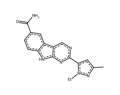 CCn1nc(C)cc1-c1ncc2c(n1)[nH]c1ccc(C(N)=O)cc12